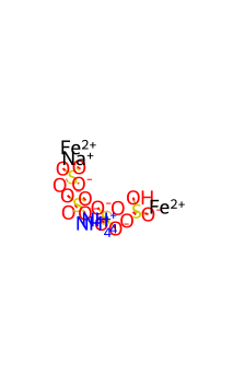 O=S(=O)([O-])[O-].O=S(=O)([O-])[O-].O=S(=O)([O-])[O-].O=S([O-])O.[Fe+2].[Fe+2].[NH4+].[NH4+].[Na+]